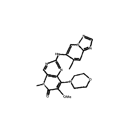 COc1c(N2CCOCC2)c2nc(Nc3cn4ncnc4cc3C)ncc2n(C)c1=O